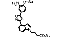 CCOC(=O)CCCn1ccc2c(-c3noc(-c4ccc(O[C@@H](C)CC)c(N)c4)n3)cccc21